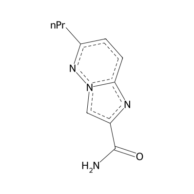 CCCc1ccc2nc(C(N)=O)cn2n1